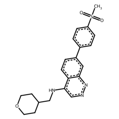 CS(=O)(=O)c1ccc(-c2ccc3c(NCC4CCOCC4)cnnc3c2)cc1